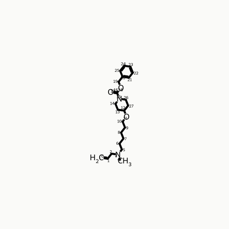 C=CCN(C)CCCCCCOC1CCN(C(=O)OCc2ccccc2)CC1